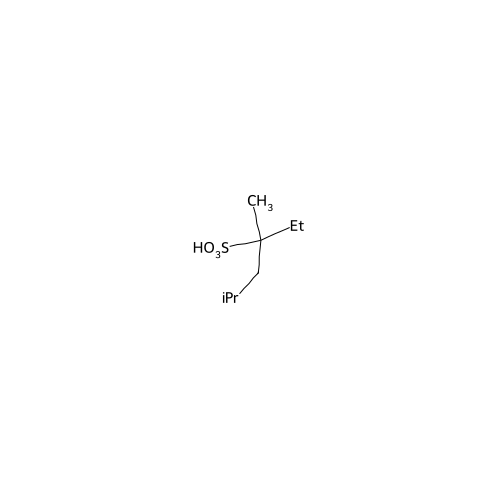 CCC(C)(CC(C)C)S(=O)(=O)O